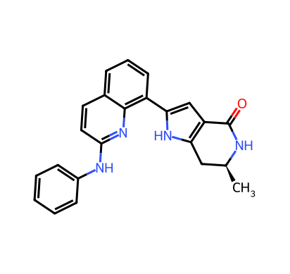 C[C@H]1Cc2[nH]c(-c3cccc4ccc(Nc5ccccc5)nc34)cc2C(=O)N1